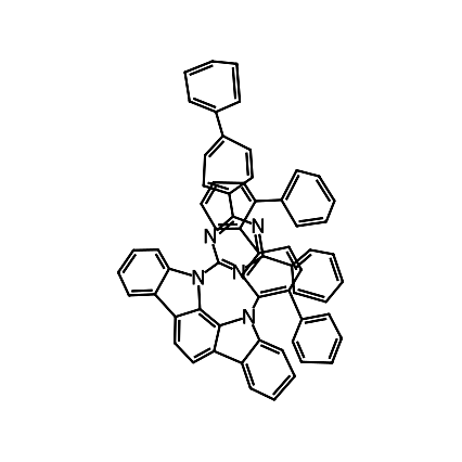 c1ccc(-c2ccc(-c3nc(-c4ccccc4)nc(-n4c5ccccc5c5ccc6c7ccccc7n(-c7cc(-c8ccccc8-c8ccccc8)ccc7-c7ccccc7)c6c54)n3)cc2)cc1